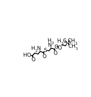 C[N+](C)(C)CCOOC(=O)[C@@H](N)CSC(=O)[C@@H](N)CCC(=O)O